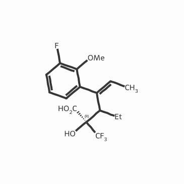 CC=C(c1cccc(F)c1OC)C(CC)[C@@](O)(C(=O)O)C(F)(F)F